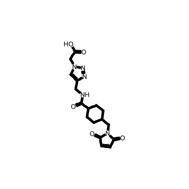 O=C(O)Cn1cc(CNC(=O)C2CCC(CN3C(=O)C=CC3=O)CC2)nn1